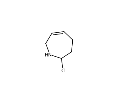 ClC1CCC=CCN1